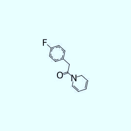 O=C(Cc1ccc(F)cc1)N1C=CC=CC1